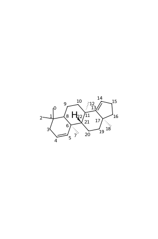 CC1(C)CC=C[C@@]2(C)C1CC[C@@]1(C)C3=CCC[C@@]3(C)CC[C@@H]12